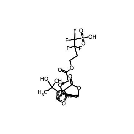 CC(C)(O)c1c2c3oc1c(OCC(=O)OCCC(F)(F)C(F)(F)S(=O)(=O)O)c3OC2=O